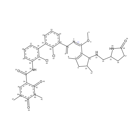 C=C(/N=C(/OC)C1=C(C)CC(C)C1NCC1CCC(=O)N1)c1cccc(-c2cccc(NC(=O)c3cn(C)c(=O)n(C)c3=O)c2Cl)c1Cl